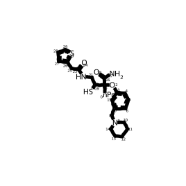 CCCC(Oc1cccc(CN2CCCCC2)c1)(C(N)=O)C(S)CNC(=O)Cc1cccs1